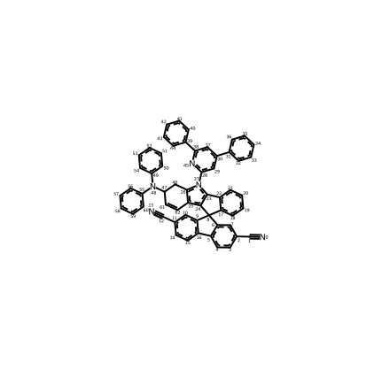 N#Cc1ccc2c(c1)C1(c3cc(C#N)ccc3-2)c2ccccc2-c2c1c1c(n2-c2cc(-c3ccccc3)cc(-c3ccccc3)n2)CC(N(c2ccccc2)c2ccccc2)C=C1